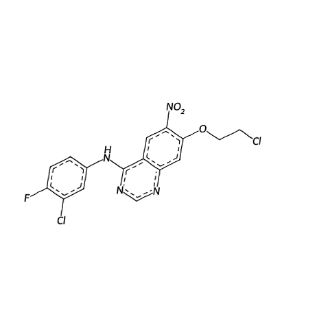 O=[N+]([O-])c1cc2c(Nc3ccc(F)c(Cl)c3)ncnc2cc1OCCCl